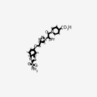 CC(C)C(C(=O)N1CCC(C(=O)O)CC1)n1cc(COc2ccc3nc(S(N)(=O)=O)sc3c2)nn1